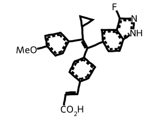 COc1ccc(C(=C(c2ccc(C=CC(=O)O)cc2)c2ccc3[nH]nc(F)c3c2)C2CC2)cc1